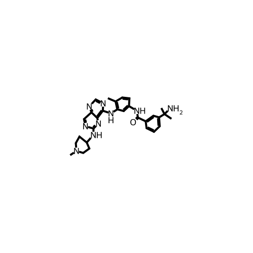 Cc1ccc(NC(=O)c2cccc(C(C)(C)N)c2)cc1Nc1ncnc2cnc(NC3CCN(C)CC3)nc12